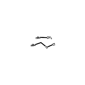 CCCCC.CCCCCOCl